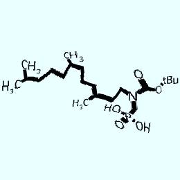 CC(C)=CCCC(C)=CCCC(C)=CCN(CP(=O)(O)O)C(=O)OC(C)(C)C